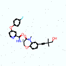 CN1C(=O)[C@@H](NC(=O)c2cc(Oc3ccc(F)cc3)ccn2)COc2ccc(C#CC(C)(C)CO)cc21